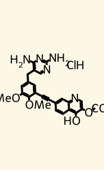 COc1cc(Cc2cnc(N)nc2N)cc(C#Cc2ccc3c(O)c(OC(=O)O)cnc3c2)c1OC.Cl